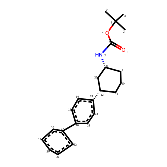 CC(C)(C)OC(=O)N[C@@H]1CCC[C@H](c2ccc(-c3ccccc3)cc2)C1